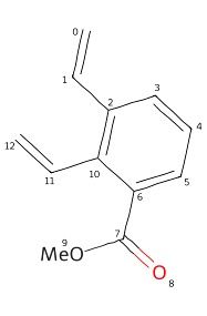 C=Cc1cccc(C(=O)OC)c1C=C